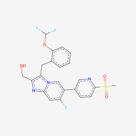 CS(=O)(=O)c1ccc(-c2cn3c(Cc4ccccc4OC(F)F)c(CO)nc3cc2F)cn1